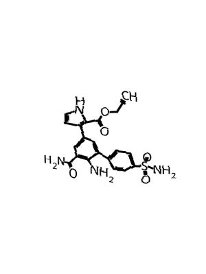 C#CCOC(=O)c1[nH]ccc1-c1cc(C(N)=O)c(N)c(-c2ccc(S(N)(=O)=O)cc2)c1